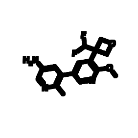 COc1ncc(-c2cc(N)cnc2C)cc1C1(C(F)F)COC1